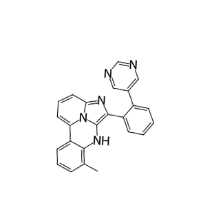 Cc1cccc2c1Nc1c(-c3ccccc3-c3cncnc3)nc3cccc-2n13